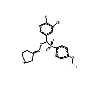 N#Cc1cc(C(ON=C2CCNCC2)S(=O)(=O)c2ccc(OC(F)(F)F)cc2)ccc1F